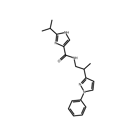 CC(C)c1nc(C(=O)NCC(C)c2ccn(-c3ccccc3)n2)c[nH]1